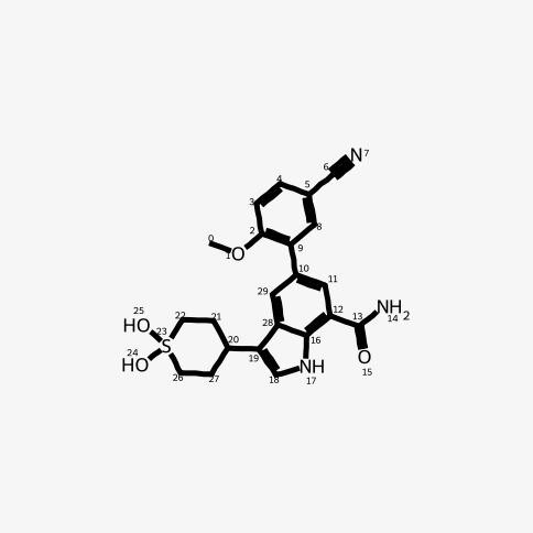 COc1ccc(C#N)cc1-c1cc(C(N)=O)c2[nH]cc(C3CCS(O)(O)CC3)c2c1